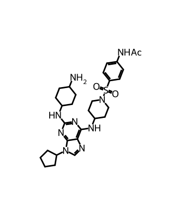 CC(=O)Nc1ccc(S(=O)(=O)N2CCC(Nc3nc(NC4CCC(N)CC4)nc4c3ncn4C3CCCC3)CC2)cc1